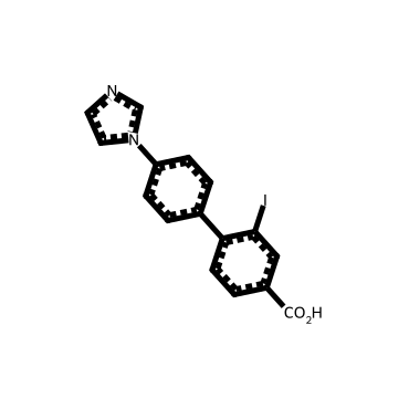 O=C(O)c1ccc(-c2ccc(-n3ccnc3)cc2)c(I)c1